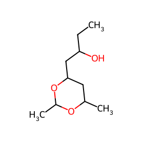 CCC(O)CC1CC(C)OC(C)O1